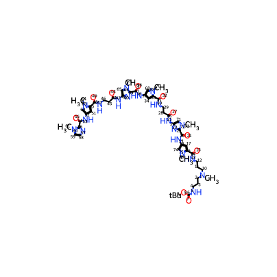 CN(CCCNC(=O)OC(C)(C)C)CCCNC(=O)c1cc(NC(=O)c2nc(NC(=O)CCNC(=O)c3cc(NC(=O)c4nc(NC(=O)CCNC(=O)c5cc(NC(=O)c6nccn6C)cn5C)cn4C)cn3C)cn2C)cn1C